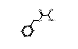 CCC(C(=O)OCc1ccccc1)[N+](=O)[O-]